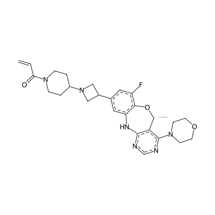 C=CC(=O)N1CCC(N2CC(c3cc(F)c4c(c3)Nc3ncnc(N5CCOCC5)c3[C@@H](C)O4)C2)CC1